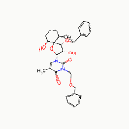 Cc1cn([C@@H]2OC3([C@H](C)CCC[C@@H]3O)[C@H](OCc3ccccc3)[C@@H]2O)c(=O)n(COCc2ccccc2)c1=O